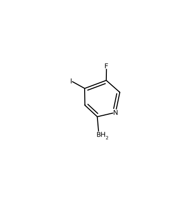 Bc1cc(I)c(F)cn1